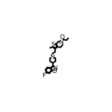 CCC(=O)N1CCc2c(sc(C)c2CCN2CCC(c3noc4cc(F)ccc34)CC2)C1